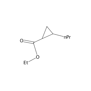 CCCC1CC1C(=O)OCC